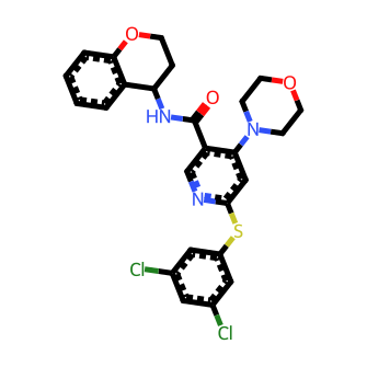 O=C(NC1CCOc2ccccc21)c1cnc(Sc2cc(Cl)cc(Cl)c2)cc1N1CCOCC1